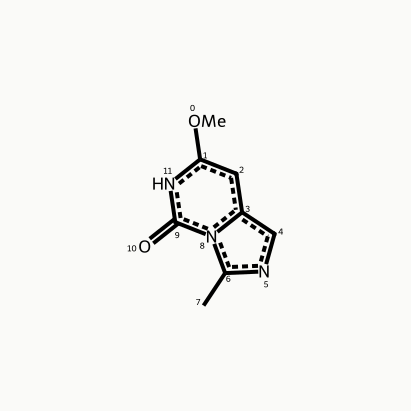 COc1cc2cnc(C)n2c(=O)[nH]1